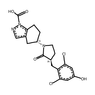 O=C1[C@H](Cc2c(Cl)cc(O)cc2Cl)CCN1[C@H]1CCc2c(cnn2C(=O)O)C1